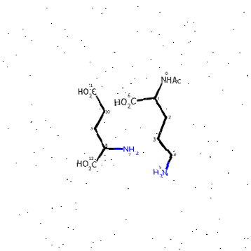 CC(=O)NC(CCCN)C(=O)O.NC(CCC(=O)O)C(=O)O